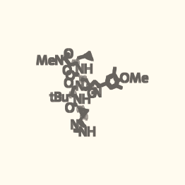 CNC(=O)C(=O)[C@H](CC1CC1)NC(=O)[C@@H]1C[C@]2(CC(c3cc(C)c(OC)c(C)c3)=NO2)CN1C(=O)[C@@H](NC(=O)[C@@H]1C[C@H]1c1c[nH]cn1)C(C)(C)C